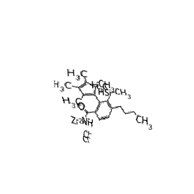 CCCCc1ccc(C(=O)[NH][Zr+2])c(C2=C(C)C(C)=C(C)C2C)c1[SiH](C)C.[Cl-].[Cl-]